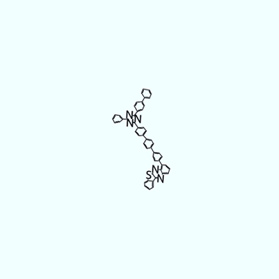 c1ccc(-c2ccc(-c3nc(-c4ccccc4)nc(-c4ccc(-c5ccc(-c6ccc(-c7cccc8nc9c(nc78)sc7ccccc79)cc6)cc5)cc4)n3)cc2)cc1